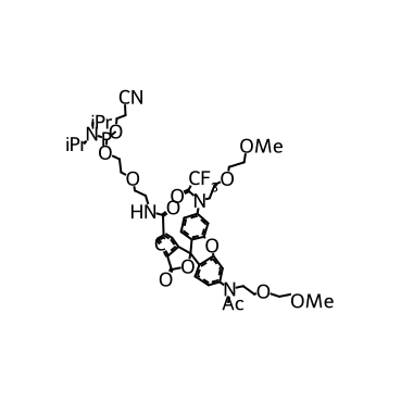 COCCOCCN(C(C)=O)c1ccc2c(c1)Oc1cc(N(CCOCCOC)C(=O)C(F)(F)F)ccc1C21OC(=O)c2ccc(C(=O)NCCOCCOP(OCCC#N)N(C(C)C)C(C)C)cc21